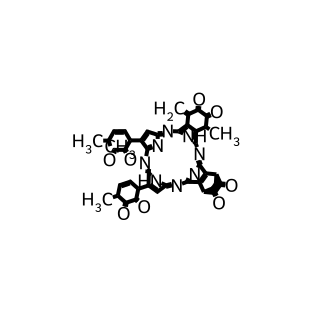 C=C1C(=O)C(=O)C(C)c2c1c1nc3nc(nc4[nH]c(cc4C4C=CC(C)C(=O)C4=O)nc4nc(nc2[nH]1)C1=C4C2C=CC1C(=O)C2=O)C(C(/C=C\C(C)C)C(=O)C=O)=C3